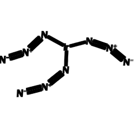 [N-]=[N+]=[N][Ir]([N]=[N+]=[N-])[N]=[N+]=[N-]